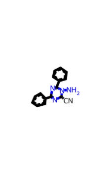 N#CC1N=C(c2ccccc2)N=C(c2ccccc2)N1N